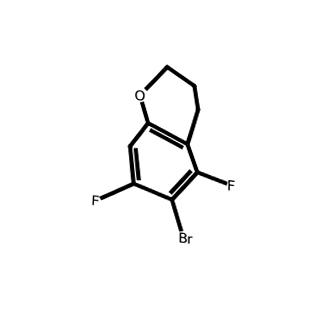 Fc1cc2c(c(F)c1Br)CCCO2